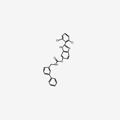 O=C(NCc1cccc(-c2ccccc2)c1)Oc1ccc2nc(-c3c(Cl)cccc3Cl)[nH]c2c1